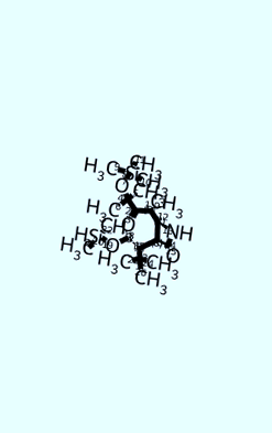 C[C@@H](C(=O)C(C)(C)O[Si](C)(C)C)[C@H]1NC(=O)[C@H]1[C@@H](CO[SiH](C)C)C(C)(C)C